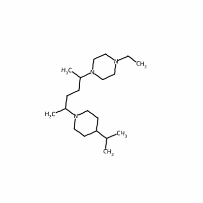 CCN1CCN(C(C)CCC(C)N2CCC(C(C)C)CC2)CC1